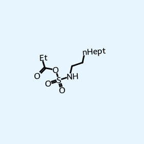 CCCCCCCCCNS(=O)(=O)OC(=O)CC